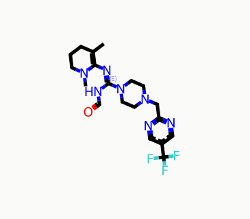 CC1=C(/N=C(\NC=O)N2CCN(Cc3ncc(C(F)(F)F)cn3)CC2)N(C)CCC1